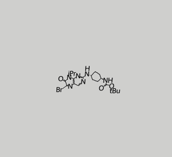 CC(C)n1c(=O)c(Br)nc2cnc(N[C@H]3CC[C@H](NC(=O)OC(C)(C)C)CC3)nc21